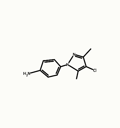 Cc1nn(-c2ccc(N)cc2)c(C)c1Cl